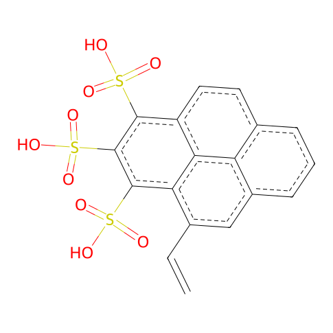 C=Cc1cc2cccc3ccc4c(S(=O)(=O)O)c(S(=O)(=O)O)c(S(=O)(=O)O)c1c4c32